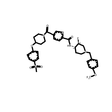 CS(=O)(=O)c1ccc(OC2CCN(C(=O)c3ccc(C(=O)N[C@H]4CCN(Cc5ccc(OC(F)(F)F)cc5)C[C@@H]4F)nc3)CC2)cc1